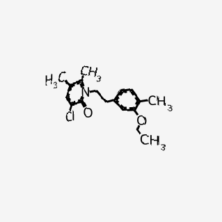 CCOc1cc(CCn2c(C)c(C)cc(Cl)c2=O)ccc1C